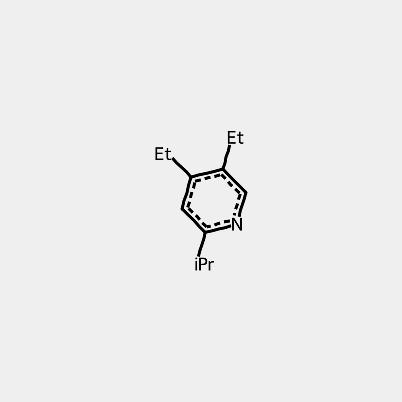 CCc1cnc(C(C)C)cc1CC